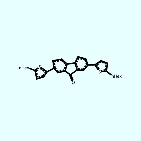 CCCCCCc1ccc(-c2ccc3c(c2)C(=O)c2cc(-c4ccc(CCCCCC)s4)ccc2-3)s1